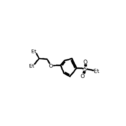 [CH2]CS(=O)(=O)c1ccc(OCC(CC)CC)cc1